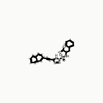 O=C(O)C(Cc1ccccc1)NS(=O)(=O)N1N=NC(C#Cc2ccc3ccccc3c2)N1